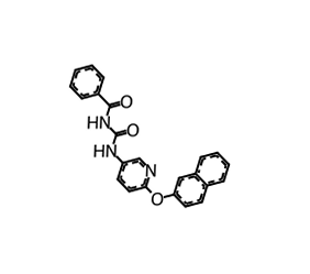 O=C(NC(=O)c1ccccc1)Nc1ccc(Oc2ccc3ccccc3c2)nc1